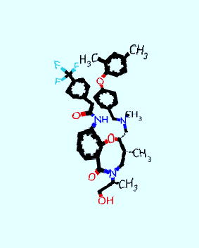 Cc1ccc(Oc2ccc(CN(C)C[C@H]3Oc4c(NC(=O)Cc5ccc(C(F)(F)F)cc5)cccc4C(=O)N([C@@H](C)CO)C[C@H]3C)cc2)c(C)c1